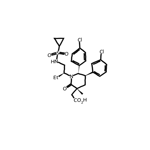 CC[C@@H](CNS(=O)(=O)C1CC1)N1C(=O)[C@@](C)(CC(=O)O)C[C@H](c2cccc(Cl)c2)[C@H]1c1ccc(Cl)cc1